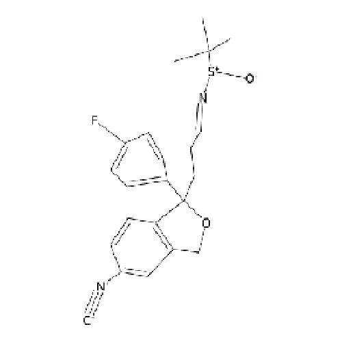 [C-]#[N+]c1ccc2c(c1)COC2(CCC=N[S+]([O-])C(C)(C)C)c1ccc(F)cc1